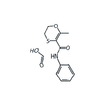 CC1=C(C(=O)Nc2ccccc2)SCCO1.O=CO